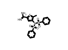 Cc1sc(C(=N)N)cc1N(S(=O)(=O)c1ccccc1)S(=O)(=O)c1ccccc1